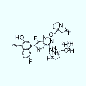 [2H]C([2H])([2H])OC[C@@]12CC[C@@H](CN(c3nc(OC[C@@]45CCCN4C[C@H](F)C5)nc4c(F)c(-c5cc(O)c(C#C)c6ccc(F)cc56)ncc34)C1)N2